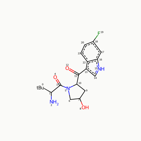 CC(C)(C)C(N)C(=O)N1CC(O)CC1C(=O)c1c[nH]c2cc(F)ccc12